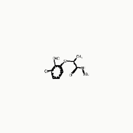 CCCCNC(=O)C(C)Oc1cccc(Cl)c1C=O